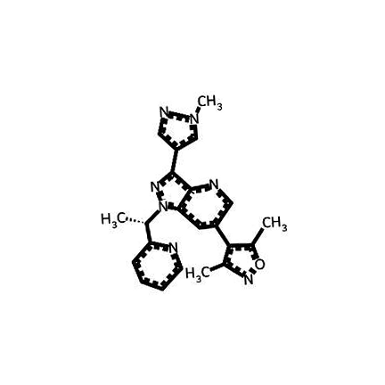 Cc1noc(C)c1-c1cnc2c(-c3cnn(C)c3)nn([C@@H](C)c3ccccn3)c2c1